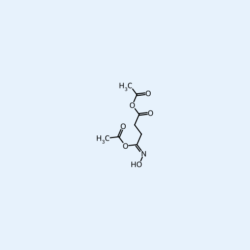 CC(=O)OC(=O)CC/C(=N/O)OC(C)=O